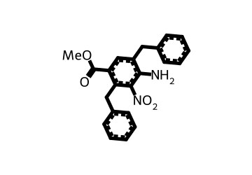 COC(=O)c1cc(Cc2ccccc2)c(N)c([N+](=O)[O-])c1Cc1ccccc1